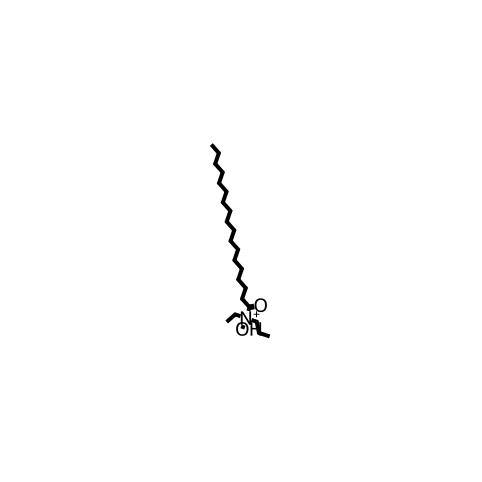 CCCCCCCCCCCCCCCCCC(=O)[N+](O)(CC)CCC